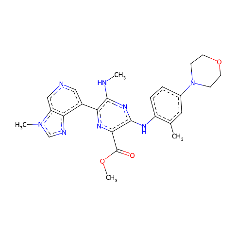 CNc1nc(Nc2ccc(N3CCOCC3)cc2C)c(C(=O)OC)nc1-c1cncc2c1ncn2C